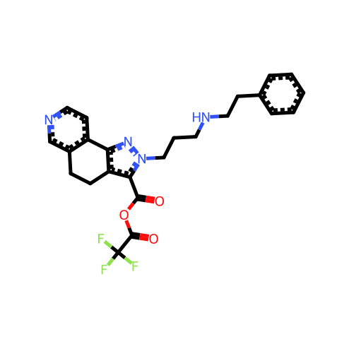 O=C(OC(=O)C(F)(F)F)c1c2c(nn1CCCNCCc1ccccc1)-c1ccncc1CC2